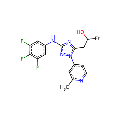 CCC(O)Cc1nc(Nc2cc(F)c(F)c(F)c2)nn1-c1ccnc(C)c1